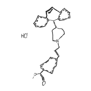 COC(=O)c1ccc(C=CCN2CCC(=C3c4ccccc4C=Cc4ccccc43)CC2)cc1.Cl